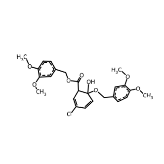 COc1ccc(COC(=O)C2C=C(Cl)C=CC2(O)OCc2ccc(OC)c(OC)c2)cc1OC